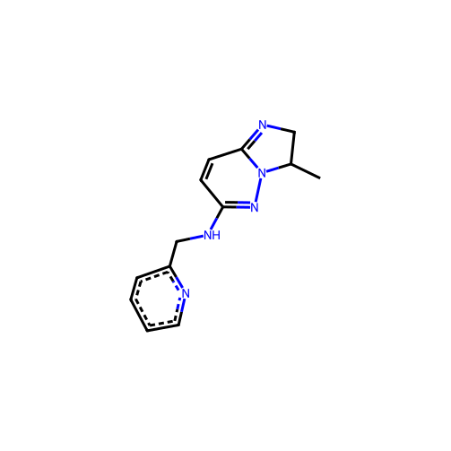 CC1CN=C2C=CC(NCc3ccccn3)=NN21